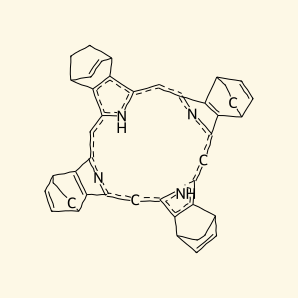 C1=CC2CCC1C1=C2c2cc3[nH]c(cc4nc(cc5[nH]c(cc1n2)c1c5C2C=CC1CC2)C1=C4C2C=CC1CC2)c1c3C2C=CC1CC2